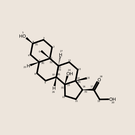 C[C@]12CC[C@H](O)C[C@H]1CC[C@@H]1[C@@H]2CC[C@]2(C)[C@@H](C(=O)CO)CC[C@]12O